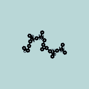 c1ccc(-c2nc(-c3ccccc3)nc(-c3ccc(-c4nc5cc(-c6ccc7c8cc(-c9cccc(-c%10nc(-c%11ccccc%11)nc(-c%11ccc(-c%12nc%13cc(-c%14ccc(-c%15cccc%16oc%17ccccc%17c%15%16)cc%14)ccc%13c%13c%12oc%12ccccc%12%13)cc%11)n%10)c9)ccc8c8ccccc8c7c6)ccc5c5c4oc4ccccc45)cc3)n2)cc1